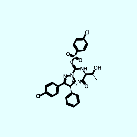 C[C@@H](O)[C@H](N/C(=N\S(=O)(=O)c1ccc(Cl)cc1)N1C[C@H](c2ccccc2)C(c2ccc(Cl)cc2)=N1)C(N)=O